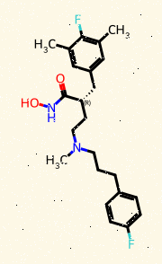 Cc1cc(C[C@H](CCN(C)CCCc2ccc(F)cc2)C(=O)NO)cc(C)c1F